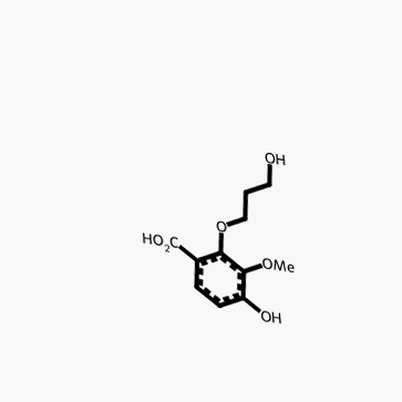 COc1c(O)ccc(C(=O)O)c1OCCCO